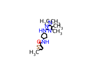 Cc1ccc(C(=O)NC2CCC(Nc3nc(C)c(C)c(N(C)C)n3)CC2)s1